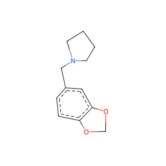 c1cc2c(cc1CN1CCCC1)OCO2